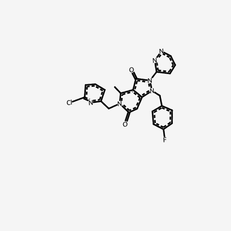 Cc1c2c(=O)n(-c3cccnn3)n(Cc3ccc(F)cc3)c2cc(=O)n1Cc1cccc(Cl)n1